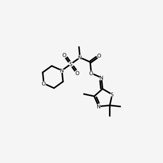 CC1=NC(C)(C)SC1=NOC(=O)N(C)S(=O)(=O)N1CCOCC1